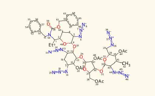 CCC(C1CCC(N=[N+]=[N-])C(OC2C(N=[N+]=[N-])CC(N=[N+]=[N-])C(OC(C)=O)C2OC2OC(COC(C)=O)C(OC3OC(CN=[N+]=[N-])C(OC(C)=O)C(C)C3N=[N+]=[N-])C2OC(C)=O)O1)N(Cc1ccccc1)C(=O)OCc1ccccc1